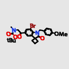 COc1ccc(CN2C(=O)C3(CCC3)c3cc(C(=O)CN(C)C(=O)OC(C)(C)C)cc(Br)c32)cc1